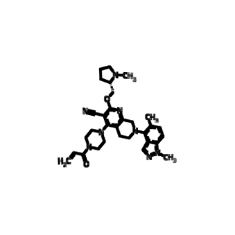 C=CC(=O)N1CCN(c2c(C#N)c(OC[C@@H]3CCCN3C)nc3c2CCN(c2c(C)ccc4c2cnn4C)C3)CC1